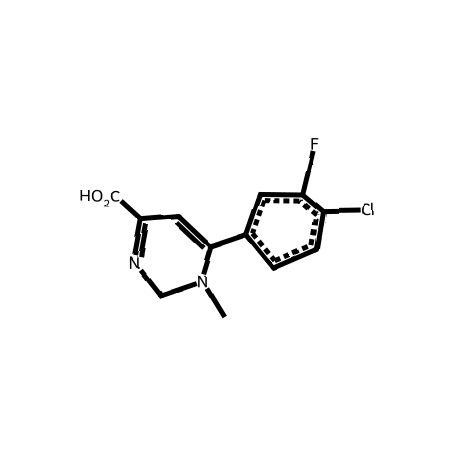 CN1CN=C(C(=O)O)C=C1c1ccc(Cl)c(F)c1